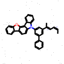 C/C=C\C=C(/C)c1cc(-c2ccccc2)cc(-n2c3ccccc3c3c4oc5ccccc5c4ccc32)c1